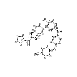 CC(C)N1CCN(Cc2ccc(Nc3ncc(F)c(-c4ccc5nc(NC6CCCC6)sc5c4)n3)nc2)CC1